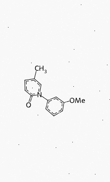 COc1cccc(-n2cc(C)ccc2=O)c1